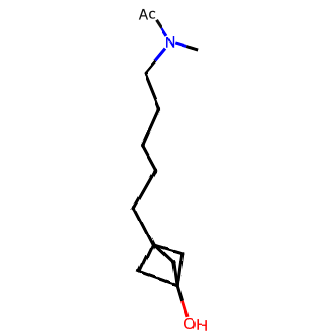 CC(=O)N(C)CCCCCC12CC(O)(C1)C2